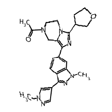 CC(=O)N1CCn2c(C3CCOC3)nc(-c3ccc4c(-c5cnn(C)c5)nn(C)c4c3)c2C1